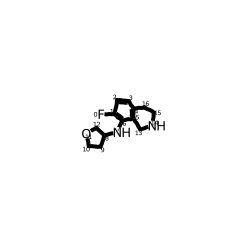 Fc1ccc2c(c1NC1CCOC1)CNCC2